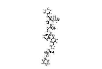 O=CNc1cc(C(O)CN(CCOc2ccc(CCCCNC(=O)OCc3ccccc3)cc2)Cc2ccccc2)ccc1OCc1ccccc1